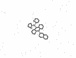 c1ccc(N(c2ccccn2)c2c3ccccc3c(-c3ccc4ccccc4c3)c3ccccc23)nc1